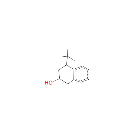 CC(C)(C)C1CC(O)Cc2ccccc21